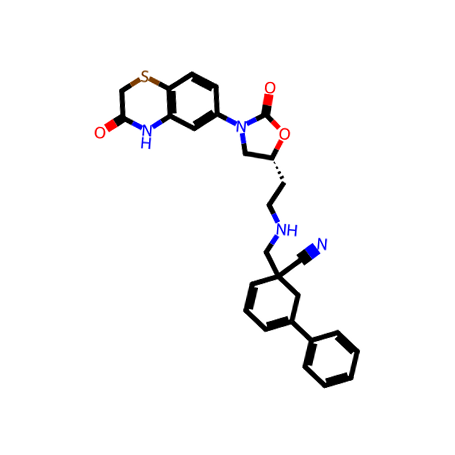 N#CC1(CNCC[C@@H]2CN(c3ccc4c(c3)NC(=O)CS4)C(=O)O2)C=CC=C(c2ccccc2)C1